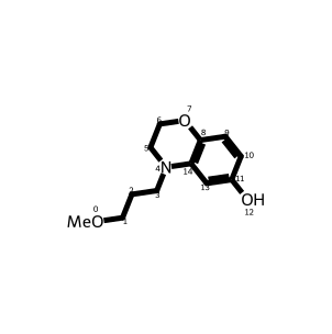 COCCCN1CCOc2ccc(O)cc21